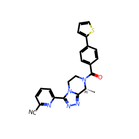 C[C@@H]1c2nnc(-c3cccc(C#N)n3)n2CCN1C(=O)c1ccc(-c2cccs2)cc1